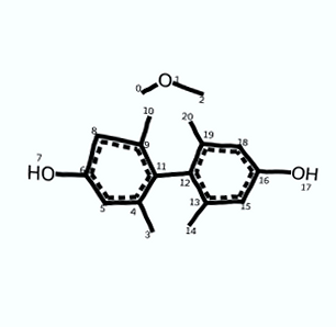 COC.Cc1cc(O)cc(C)c1-c1c(C)cc(O)cc1C